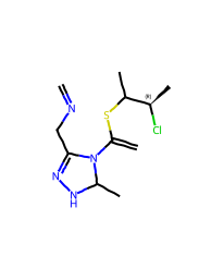 C=NCC1=NNC(C)N1C(=C)SC(C)[C@@H](C)Cl